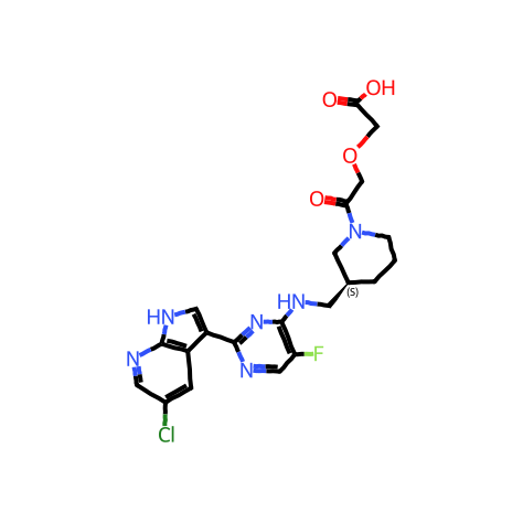 O=C(O)COCC(=O)N1CCC[C@@H](CNc2nc(-c3c[nH]c4ncc(Cl)cc34)ncc2F)C1